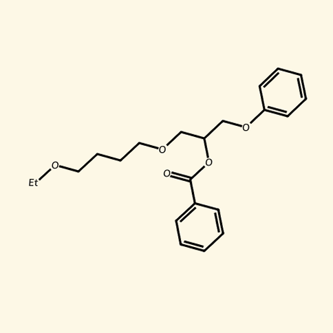 CCOCCCCOCC(COc1ccccc1)OC(=O)c1ccccc1